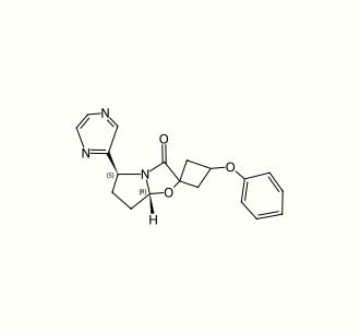 O=C1N2[C@@H](CC[C@H]2c2cnccn2)OC12CC(Oc1ccccc1)C2